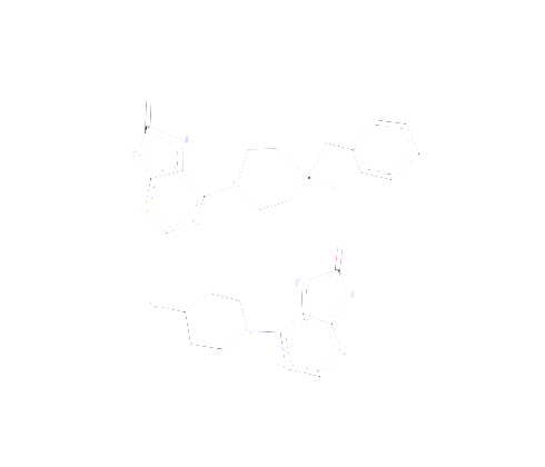 NC1CCN(c2ncnc3[nH]c(=O)[nH]c23)CC1.O=c1[nH]c2ncnc(N3CCC(O)(Cc4ccccc4)CC3)c2[nH]1